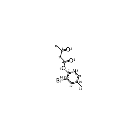 CC(=O)CC(=O)Oc1ncc(C)cc1Br